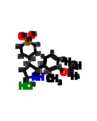 Cl.[2H]C([2H])([2H])Oc1cccc([C@H]2NCCC2C2CCS(=O)(=O)CC2)c1C